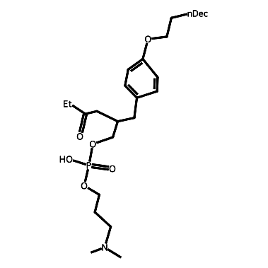 CCCCCCCCCCCCOc1ccc(CC(COP(=O)(O)OCCCN(C)C)CC(=O)CC)cc1